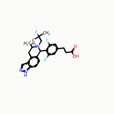 CC1Cc2c(ccc3[nH]ncc23)C(c2c(F)cc(CCC(=O)O)cc2F)N1CC(C)(C)F